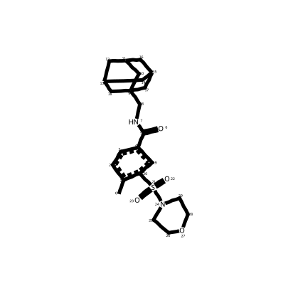 Cc1ccc(C(=O)NCC23CC4CC(CC(C4)C2)C3)cc1S(=O)(=O)N1CCOCC1